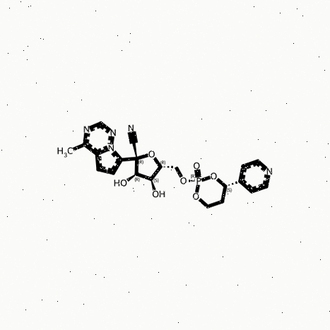 Cc1ncnn2c([C@]3(C#N)O[C@H](CO[P@@]4(=O)OCC[C@@H](c5ccncc5)O4)[C@@H](O)[C@H]3O)ccc12